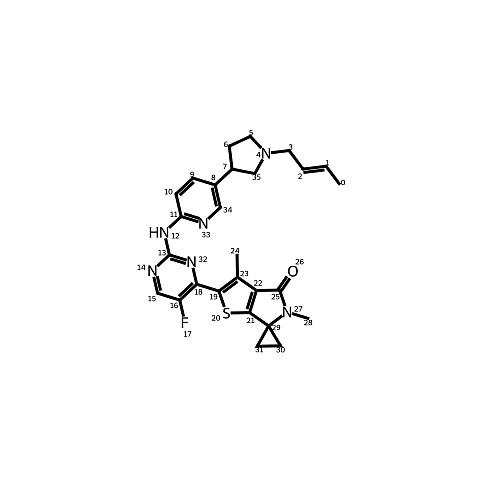 C/C=C/CN1CCC(c2ccc(Nc3ncc(F)c(-c4sc5c(c4C)C(=O)N(C)C54CC4)n3)nc2)C1